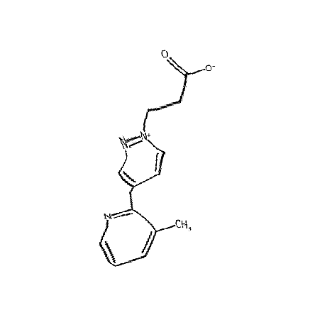 Cc1cccnc1-c1cc[n+](CCC(=O)[O-])nc1